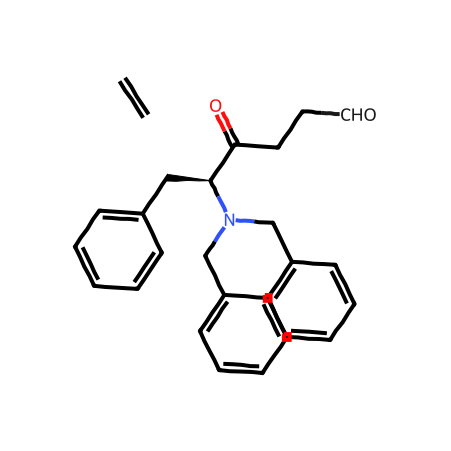 C=C.O=CCCC(=O)[C@H](Cc1ccccc1)N(Cc1ccccc1)Cc1ccccc1